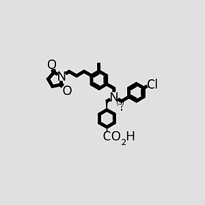 Cc1cc(CN(C[C@H]2CC[C@H](C(=O)O)CC2)[C@@H](C)c2ccc(Cl)cc2)ccc1CCCN1C(=O)CCC1=O